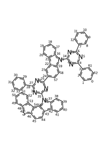 c1ccc(-c2nc(-c3ccccc3)nc(-n3c4ccccc4c4cc(-c5nc(-c6ccccc6)nc(-n6c7ccccc7c7ccc8sc9ccccc9c8c76)n5)ccc43)n2)cc1